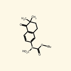 CC(C)(C)OC(=O)N(C(=O)O)c1ccc2c(c1)CCC(C)(C)C2=O